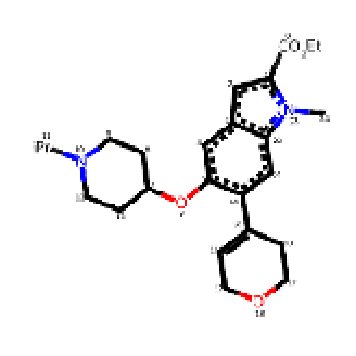 CCOC(=O)c1cc2cc(OC3CCN(C(C)C)CC3)c(C3=CCOCC3)cc2n1C